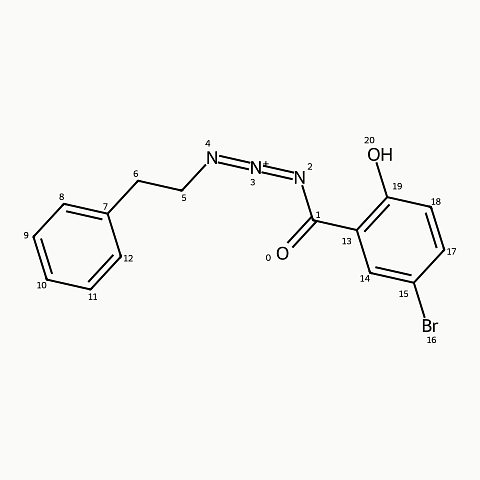 O=C(N=[N+]=NCCc1ccccc1)c1cc(Br)ccc1O